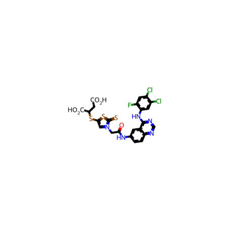 O=C(O)CC(Sc1cn(CC(=O)Nc2ccc3ncnc(Nc4cc(Cl)c(Cl)cc4F)c3c2)c(=S)s1)C(=O)O